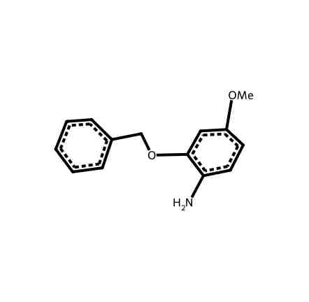 COc1ccc(N)c(OCc2ccccc2)c1